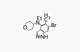 CCN(c1c(C)c(Br)cc2[nH]ncc12)C1CCOCC1